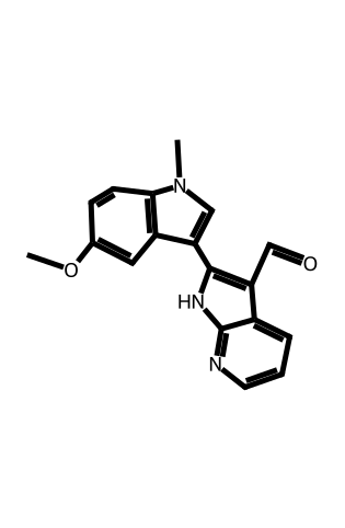 COc1ccc2c(c1)c(-c1[nH]c3ncccc3c1C=O)cn2C